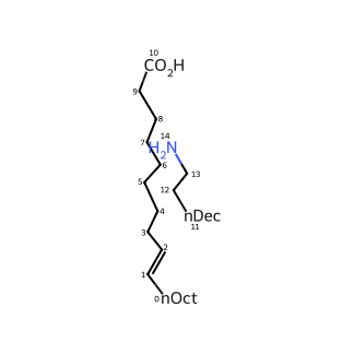 CCCCCCCCC=CCCCCCCCC(=O)O.CCCCCCCCCCCCN